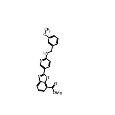 COC(=O)c1cccc2nc(-c3ccc(NCc4cccc(OC(F)(F)F)c4)nc3)oc12